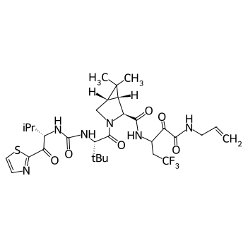 C=CCNC(=O)C(=O)C(CC(F)(F)F)NC(=O)[C@@H]1[C@@H]2[C@H](CN1C(=O)[C@@H](NC(=O)N[C@H](C(=O)c1nccs1)C(C)C)C(C)(C)C)C2(C)C